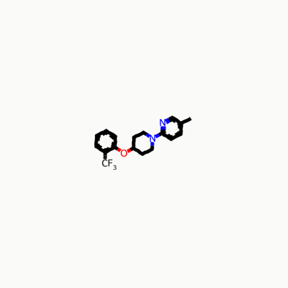 Cc1ccc(N2CCC(Oc3ccccc3C(F)(F)F)CC2)nc1